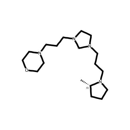 C[C@H]1CCCN1CCCN1[C]N(CCCN2CCOCC2)CC1